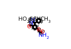 Cc1ccc(-c2c(N(C)C(=O)O)n(CC(C)C)c(=O)c3ccc(OCC(N)=O)cc23)cc1